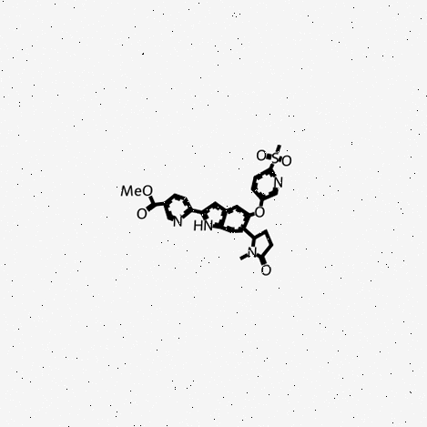 COC(=O)c1ccc(-c2cc3cc(Oc4ccc(S(C)(=O)=O)nc4)c(C4CCC(=O)N4C)cc3[nH]2)nc1